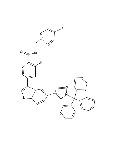 O=C(NCc1ccc(F)cc1)c1ccc(-c2cnc3ccc(-c4cnn(C(c5ccccc5)(c5ccccc5)c5ccccc5)c4)cn23)cc1F